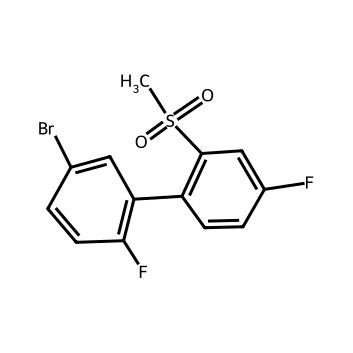 CS(=O)(=O)c1cc(F)ccc1-c1cc(Br)ccc1F